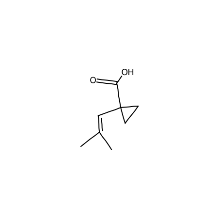 CC(C)=CC1(C(=O)O)CC1